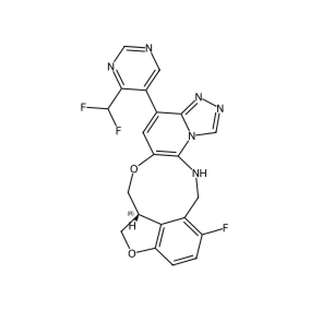 Fc1ccc2c3c1CNc1c(cc(-c4cncnc4C(F)F)c4nncn14)OC[C@H]3CO2